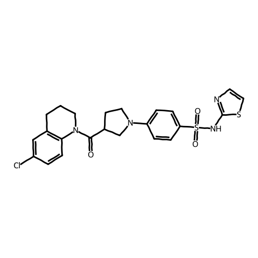 O=C(C1CCN(c2ccc(S(=O)(=O)Nc3nccs3)cc2)C1)N1CCCc2cc(Cl)ccc21